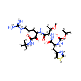 CO[C@H](C)[C@H](NC(=O)[C@H](Cc1cscn1)NC(=O)OC(C)C)C(=O)NC(CCCNC(=N)N)C(=O)C(=O)NC(C)(C)C